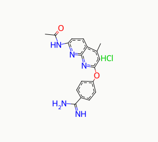 CC(=O)Nc1ccc2c(C)cc(Oc3ccc(C(=N)N)cc3)nc2n1.Cl